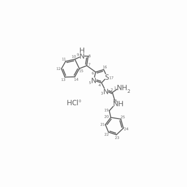 Cl.N/C(=N\c1nc(-c2c[nH]c3ccccc23)cs1)NCc1ccccc1